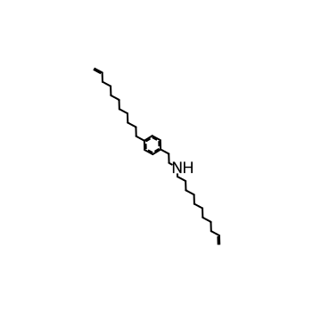 C=CCCCCCCCCCNCCc1ccc(CCCCCCCCCC=C)cc1